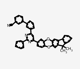 CC1(C)c2ccccc2-c2cc3c(cc21)Oc1ccc(-c2cc(-c4cccc(-c5cccc(C#N)c5)c4)nc(-c4ccccc4)n2)cc1O3